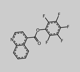 O=C(Oc1c(F)c(F)c(F)c(F)c1F)c1ccnc2ccccc12